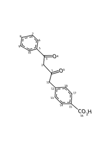 O=C(CC(=O)c1ccccc1)Cc1ccc(C(=O)O)cc1